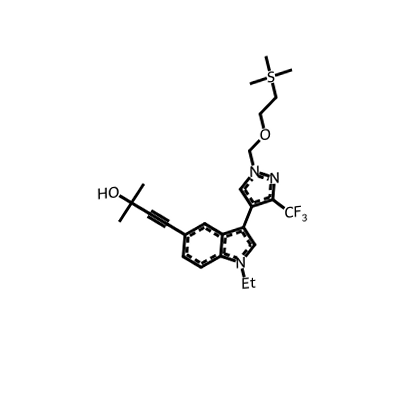 CCn1cc(-c2cn(COCCS(C)(C)C)nc2C(F)(F)F)c2cc(C#CC(C)(C)O)ccc21